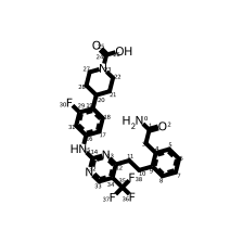 NC(=O)Cc1ccccc1CCc1nc(Nc2ccc(C3CCN(C(=O)O)CC3)c(F)c2)ncc1C(F)(F)F